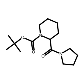 CC(C)(C)OC(=O)N1CCCCC1C(=O)N1CCCC1